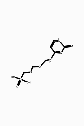 O=c1nc(NCOCOCP(=O)(O)O)cc[nH]1